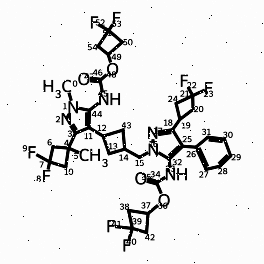 Cn1nc(C2(C)CC(F)(F)C2)c(C2CC(Cn3nc(C4CC(F)(F)C4)c(-c4ccccc4)c3NC(=O)OC3CC(F)(F)C3)C2)c1NC(=O)OC1CC(F)(F)C1